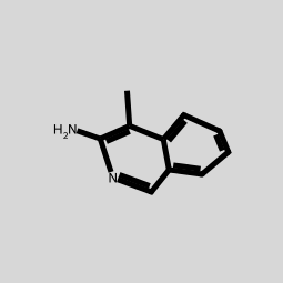 Cc1c(N)ncc2ccccc12